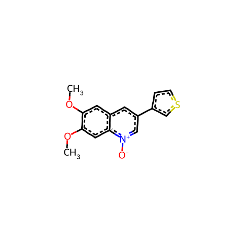 COc1cc2cc(-c3ccsc3)c[n+]([O-])c2cc1OC